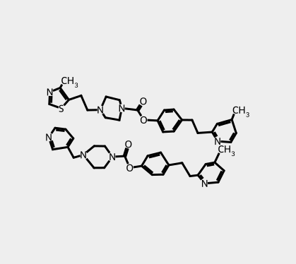 Cc1ccnc(CCc2ccc(OC(=O)N3CCN(CCc4scnc4C)CC3)cc2)c1.Cc1ccnc(CCc2ccc(OC(=O)N3CCN(Cc4cccnc4)CC3)cc2)c1